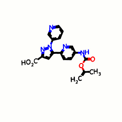 C=C(C)OC(=O)Nc1ccc(-c2cc(C(=O)O)nn2-c2cccnc2)nc1